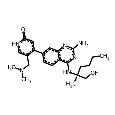 CCCC[C@](C)(CO)Nc1nc(N)nc2cc(-c3cc(=O)[nH]cc3CN(C)C)ccc12